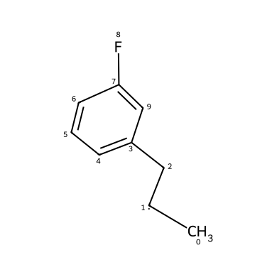 C[CH]Cc1cccc(F)c1